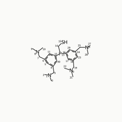 CN(C)Cc1cc(CN(C)C)cc(P(CS)c2cc(CN(C)C)cc(CN(C)C)c2)c1